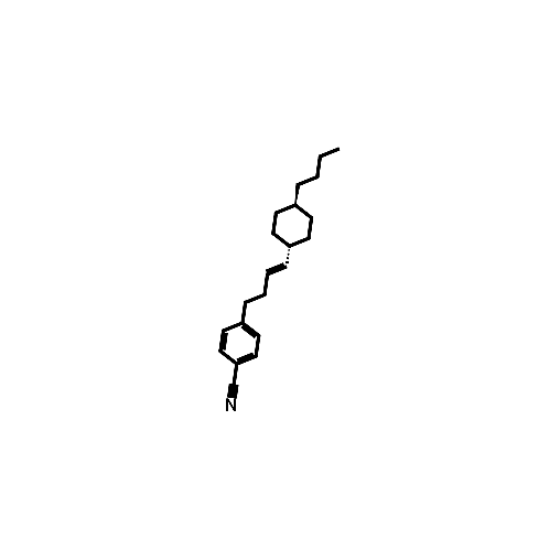 CCCC[C@H]1CC[C@H](/C=C/CCc2ccc(C#N)cc2)CC1